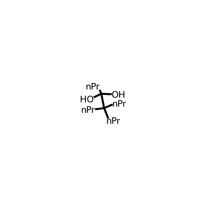 CCCC(O)(O)C(CCC)(CCC)CCC